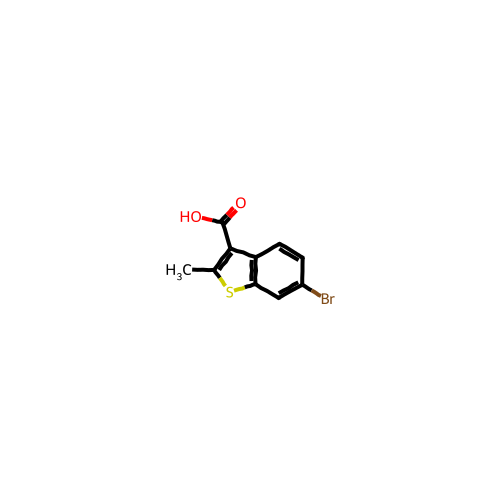 Cc1sc2cc(Br)ccc2c1C(=O)O